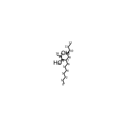 CCCCCCCC(CCCCC)[C@@H](O)[C@@H](C)O